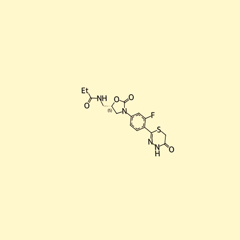 CCC(=O)NC[C@H]1CN(c2ccc(C3=NNC(=O)CS3)c(F)c2)C(=O)O1